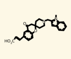 Cn1c(CN2CCC3(CC2)CC(=O)c2cc(C=CC(=O)O)ccc2O3)cc2ccccc21